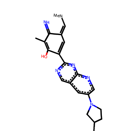 CN/C=C1/C=C(c2ncc3cc(N4CCC(NC)C4)cnc3n2)C(O)=C(C)C1=N